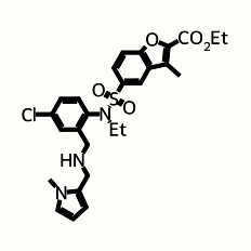 CCOC(=O)c1oc2ccc(S(=O)(=O)N(CC)c3ccc(Cl)cc3CNCc3cccn3C)cc2c1C